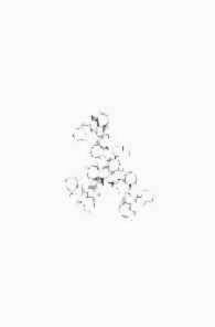 Cc1ccccc1-n1c(-c2cccc(-c3cc(C)c(-c4cccc(-c5nc6cccnc6n5-c5ccccc5C)c4C)c(-c4cccc(-c5nc6cccnc6n5-c5ccccc5C)c4C)c3C)c2C)nc2cccnc21